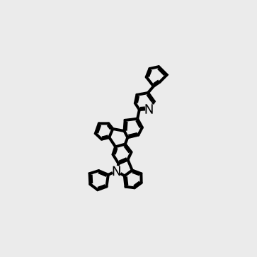 c1ccc(-c2ccc(-c3ccc4c(c3)c3ccccc3c3cc5c(cc43)c3ccccc3n5-c3ccccc3)nc2)cc1